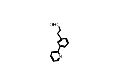 O=CCCc1cccc(-c2ccccn2)c1